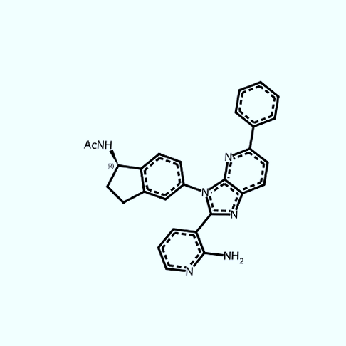 CC(=O)N[C@@H]1CCc2cc(-n3c(-c4cccnc4N)nc4ccc(-c5ccccc5)nc43)ccc21